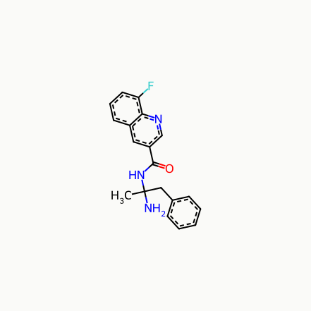 CC(N)(Cc1ccccc1)NC(=O)c1cnc2c(F)cccc2c1